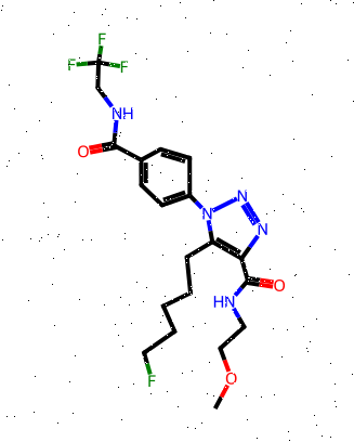 COCCNC(=O)c1nnn(-c2ccc(C(=O)NCC(F)(F)F)cc2)c1CCCCCF